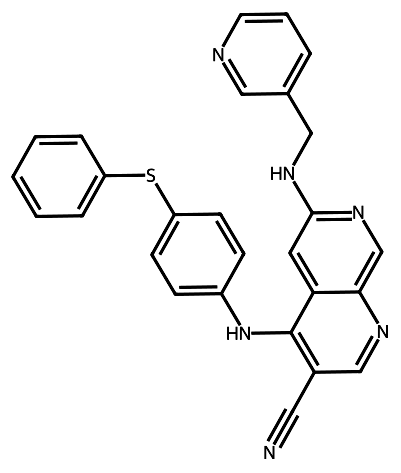 N#Cc1cnc2cnc(NCc3cccnc3)cc2c1Nc1ccc(Sc2ccccc2)cc1